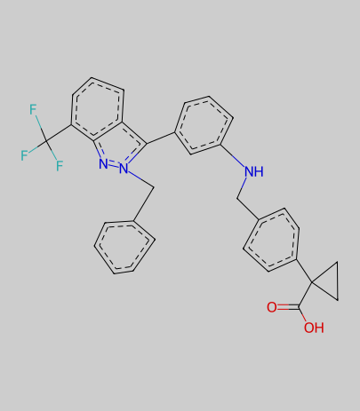 O=C(O)C1(c2ccc(CNc3cccc(-c4c5cccc(C(F)(F)F)c5nn4Cc4ccccc4)c3)cc2)CC1